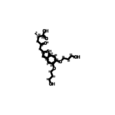 C[C@@H](CC(=O)Cc1cc2cc(OCCCO)c(OCCCO)cc2s1)C(=O)O